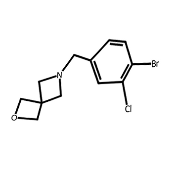 Clc1cc(CN2CC3(COC3)C2)ccc1Br